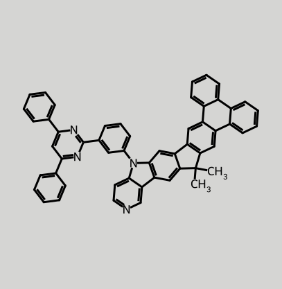 CC1(C)c2cc3c4ccccc4c4ccccc4c3cc2-c2cc3c(cc21)c1cnccc1n3-c1cccc(-c2nc(-c3ccccc3)cc(-c3ccccc3)n2)c1